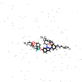 C=CC(=O)OC1CCC(Oc2ccc3cc(-c4ccc(CCCCC)cc4OC)n(CCCC(C)C)c3c2)C1(C)C(F)(F)F